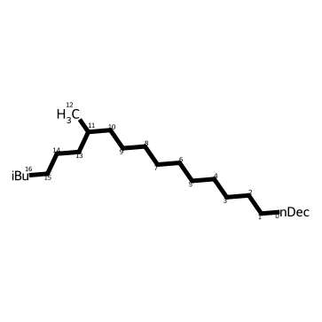 CCCCCCCCCCCCCCCCCCCCC(C)CCCC(C)CC